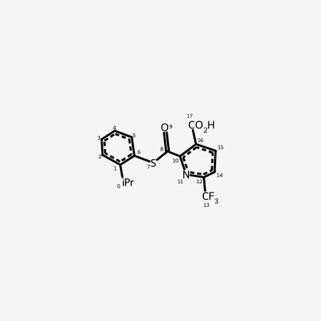 CC(C)c1ccccc1SC(=O)c1nc(C(F)(F)F)ccc1C(=O)O